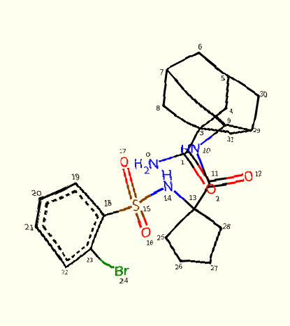 NC(=O)C12CC3CC(C1)C(NC(=O)C1(NS(=O)(=O)c4ccccc4Br)CCCC1)C(C3)C2